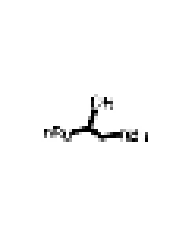 [CH2]CCCC(O)CCCCC